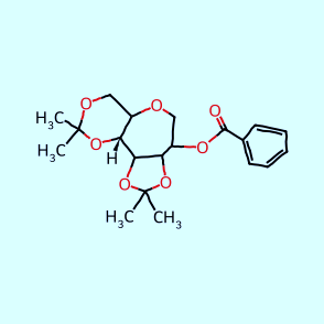 CC1(C)OC2C(OC(=O)c3ccccc3)COC3COC(C)(C)O[C@H]3C2O1